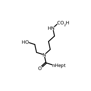 CCCCCCCC(=O)N(CCO)CCCNC(=O)O